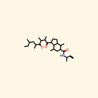 C=CC(C)NC(=O)C1CC(C)C2C(C(=O)C(C)C(C)C(=O)C(C)CC(C)CC)CCC2C1C